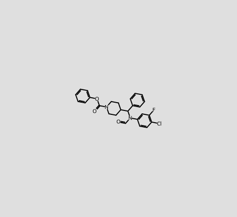 O=CN(c1ccc(Cl)c(F)c1)C(c1ccccc1)C1CCN(C(=O)Oc2ccccc2)CC1